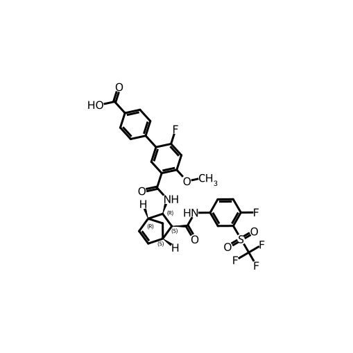 COc1cc(F)c(-c2ccc(C(=O)O)cc2)cc1C(=O)N[C@H]1[C@@H](C(=O)Nc2ccc(F)c(S(=O)(=O)C(F)(F)F)c2)[C@@H]2C=C[C@H]1C2